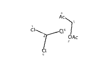 CC(=O)COC(C)=O.ClC(Cl)Cl